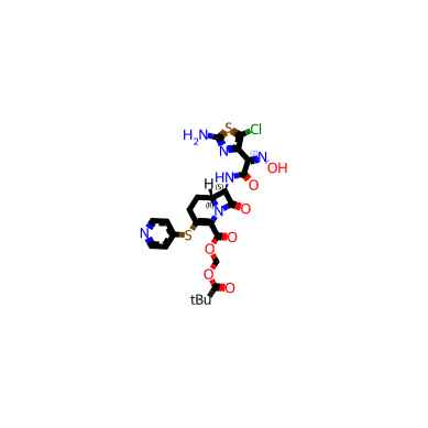 CC(C)(C)C(=O)OCOC(=O)C1=C(Sc2ccncc2)CC[C@@H]2[C@H](NC(=O)/C(=N\O)c3nc(N)sc3Cl)C(=O)N12